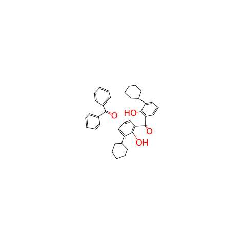 O=C(c1cccc(C2CCCCC2)c1O)c1cccc(C2CCCCC2)c1O.O=C(c1ccccc1)c1ccccc1